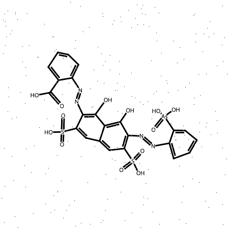 O=C(O)c1ccccc1N=Nc1c(S(=O)(=O)O)cc2cc(S(=O)(=O)O)c(N=Nc3ccccc3[As](=O)(O)O)c(O)c2c1O